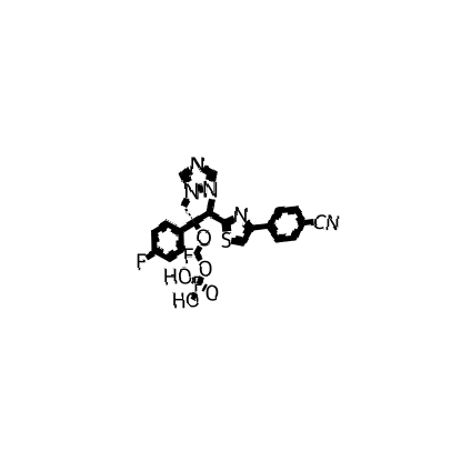 CC(c1nc(-c2ccc(C#N)cc2)cs1)[C@@](Cn1cncn1)(OCOP(=O)(O)O)c1ccc(F)cc1F